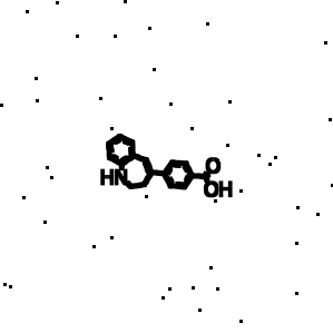 O=C(O)c1ccc(C2=Cc3ccccc3NCC2)cc1